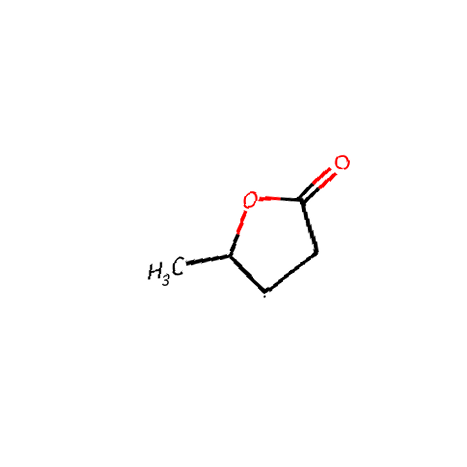 CC1[CH]CC(=O)O1